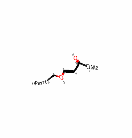 CCCCCCO/C=C/C(=O)OC